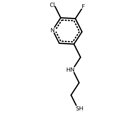 Fc1cc(CNCCS)cnc1Cl